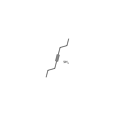 CCCC#CCCC.[SiH4]